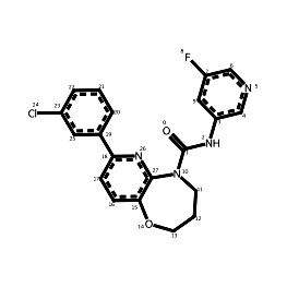 O=C(Nc1cncc(F)c1)N1CCCOc2ccc(-c3cccc(Cl)c3)nc21